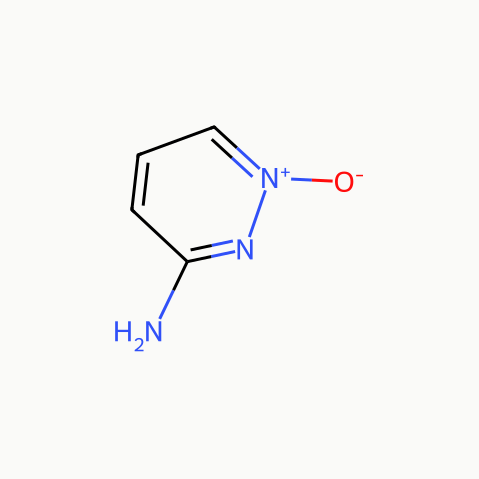 Nc1ccc[n+]([O-])n1